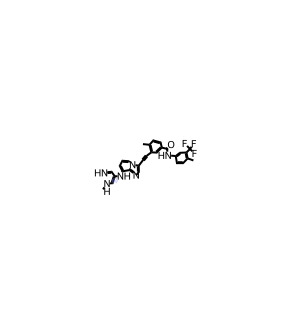 CN/C=C(\C=N)Nc1cccn2c(C#Cc3cc(C(=O)Nc4ccc(C)c(C(F)(F)F)c4)ccc3C)cnc12